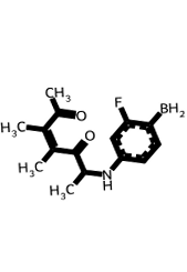 Bc1ccc(NC(C)C(=O)/C(C)=C(/C)C(C)=O)cc1F